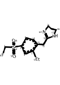 CCc1cc(S(=O)(=O)CF)ccc1CC1=NCCN1